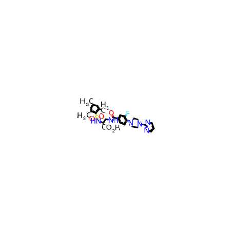 Cc1cc(C)c(S(=O)(=O)N[C@@H](CNC(=O)c2ccc(N3CCN(c4ncccn4)CC3)c(F)c2)C(=O)O)c(C)c1